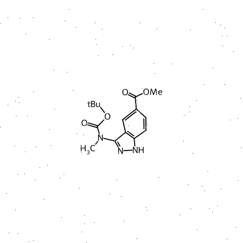 COC(=O)c1ccc2[nH]nc(N(C)C(=O)OC(C)(C)C)c2c1